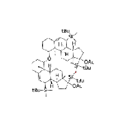 CC(=O)OC1([Si](C)(C)C(C)(C)C)CC[C@H]2[C@@H]3C([Si](C)(C)C(C)(C)C)C=C4CCCC(OC5CCCC6=CC([Si](C)(C)C(C)(C)C)[C@@H]7[C@@H](CC[C@@]8(C)[C@H]7CCC8(OC(C)=O)[Si](C)(C)C(C)(C)C)[C@]65C)[C@]4(C)[C@@H]3CC[C@@]21C